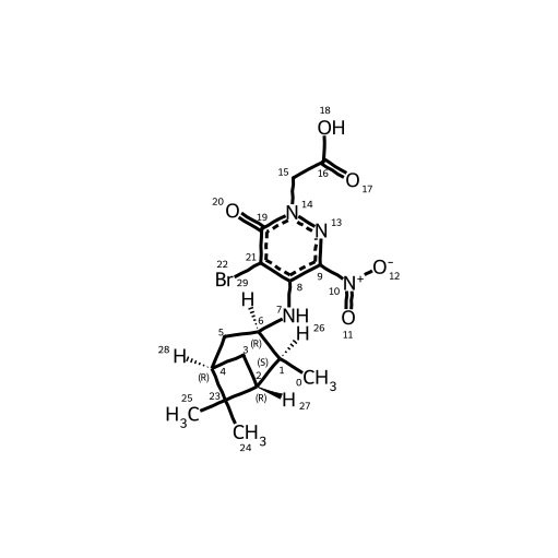 C[C@H]1[C@H]2C[C@H](C[C@H]1Nc1c([N+](=O)[O-])nn(CC(=O)O)c(=O)c1Br)C2(C)C